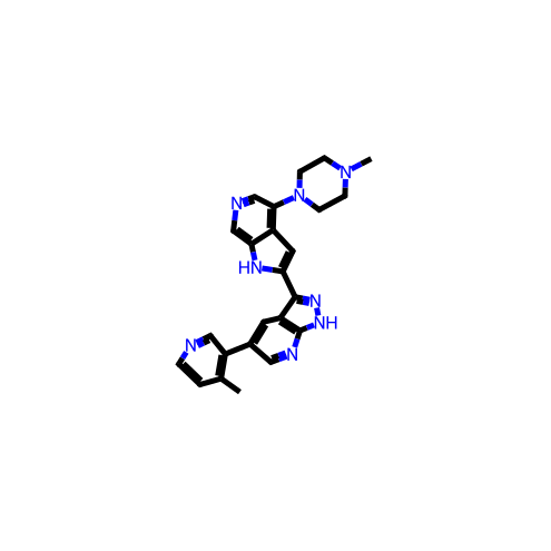 Cc1ccncc1-c1cnc2[nH]nc(-c3cc4c(N5CCN(C)CC5)cncc4[nH]3)c2c1